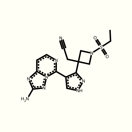 CCS(=O)(=O)N1CC(CC#N)(c2n[nH]cc2-c2nccc3nc(N)nn23)C1